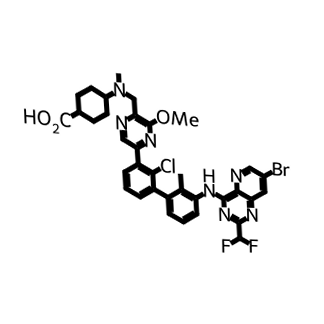 COc1nc(-c2cccc(-c3cccc(Nc4nc(C(F)F)nc5cc(Br)cnc45)c3C)c2Cl)cnc1CN(C)C1CCC(C(=O)O)CC1